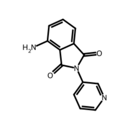 Nc1cccc2c1C(=O)N(c1cccnc1)C2=O